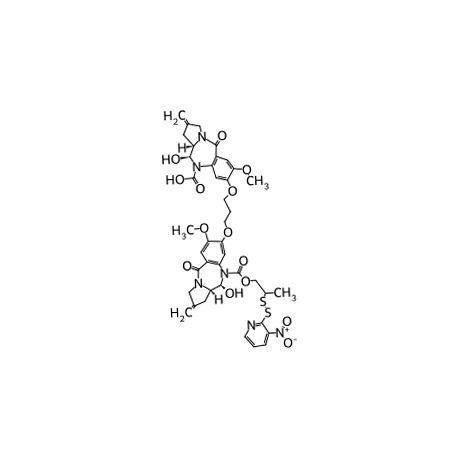 C=C1C[C@H]2[C@H](O)N(C(=O)O)c3cc(OCCCOc4cc5c(cc4OC)C(=O)N4CC(=C)C[C@H]4[C@H](O)N5C(=O)OCC(C)SSc4ncccc4[N+](=O)[O-])c(OC)cc3C(=O)N2C1